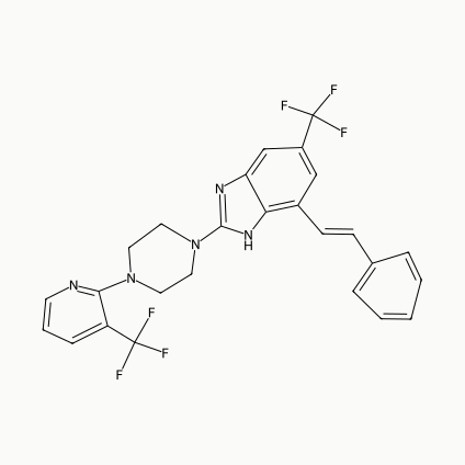 FC(F)(F)c1cc(C=Cc2ccccc2)c2[nH]c(N3CCN(c4ncccc4C(F)(F)F)CC3)nc2c1